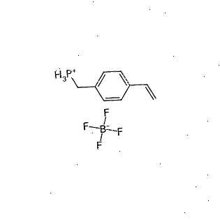 C=Cc1ccc(C[PH3+])cc1.F[B-](F)(F)F